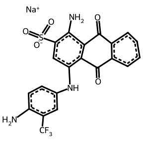 Nc1ccc(Nc2cc(S(=O)(=O)[O-])c(N)c3c2C(=O)c2ccccc2C3=O)cc1C(F)(F)F.[Na+]